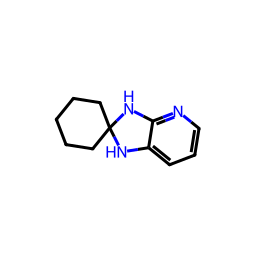 c1cnc2c(c1)NC1(CCCCC1)N2